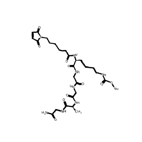 C[C@H](NC(=O)CNC(=O)CNC(=O)[C@H](CCCCNC(=O)OC(C)(C)C)NC(=O)CCCCCN1C(=O)C=CC1=O)C(=O)NCC(N)=O